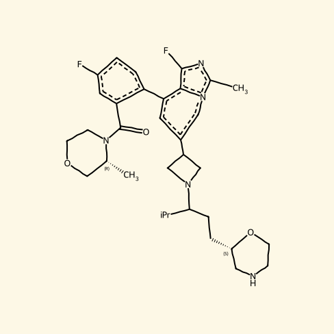 Cc1nc(F)c2c(-c3ccc(F)cc3C(=O)N3CCOC[C@H]3C)cc(C3CN(C(CC[C@H]4CNCCO4)C(C)C)C3)cn12